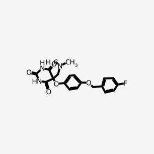 CN(C)CC1(Oc2ccc(OCc3ccc(F)cc3)cc2)C(=O)NC(=O)NC1=O